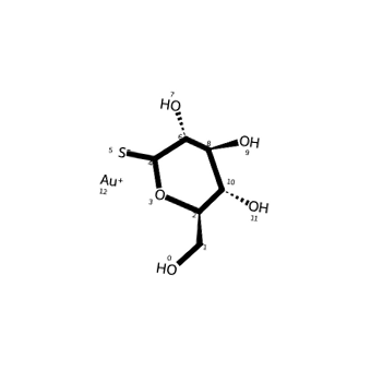 OC[C@H]1OC([S-])[C@H](O)[C@@H](O)[C@@H]1O.[Au+]